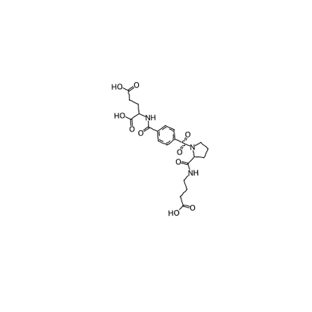 O=C(O)CCCNC(=O)C1CCCN1S(=O)(=O)c1ccc(C(=O)NC(CCC(=O)O)C(=O)O)cc1